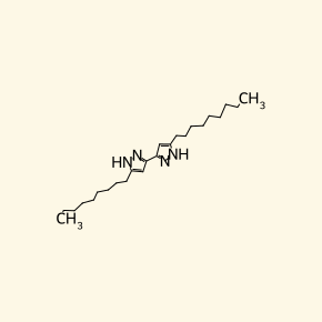 CCCCCCCCCc1cc(-c2cc(CCCCCCCCC)[nH]n2)n[nH]1